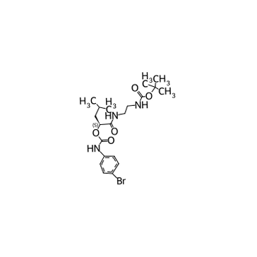 CC(C)C[C@H](OC(=O)Nc1ccc(Br)cc1)C(=O)NCCNC(=O)OC(C)(C)C